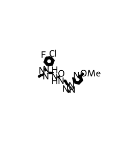 COc1ccc(-n2ncnc2CNC(=O)NCc2nc(C)nn2-c2ccc(Cl)c(F)c2)cn1